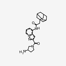 NC1CCN(C(=O)c2cc3c(NC(=O)CC45CC6CC(CC(C6)C4)C5)cccn3n2)C1